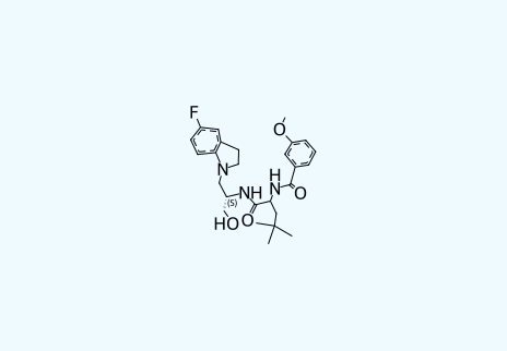 COc1cccc(C(=O)NC(CC(C)(C)C)C(=O)N[C@H](CO)CN2CCc3cc(F)ccc32)c1